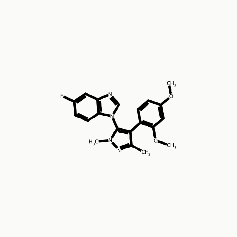 COc1ccc(-c2c(C)nn(C)c2-n2cnc3cc(F)ccc32)c(OC)c1